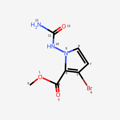 COC(=O)c1c(Br)ccn1NC(N)=O